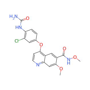 CONC(=O)c1cc2c(Oc3ccc(NC(N)=O)c(Cl)c3)ccnc2cc1OC